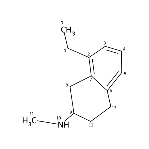 CCc1cccc2c1CC(NC)CC2